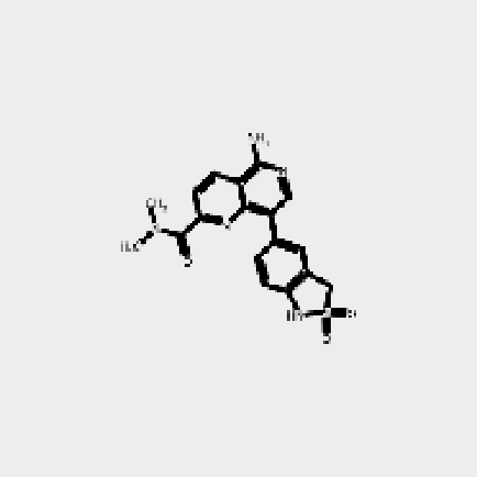 CN(C)C(=O)c1ccc2c(N)ncc(-c3ccc4c(c3)CS(=O)(=O)N4)c2n1